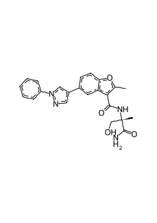 Cc1oc2ccc(-c3cnn(-c4ccccc4)c3)cc2c1C(=O)N[C@@](C)(CO)C(N)=O